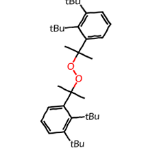 CC(C)(C)c1cccc(C(C)(C)OOC(C)(C)c2cccc(C(C)(C)C)c2C(C)(C)C)c1C(C)(C)C